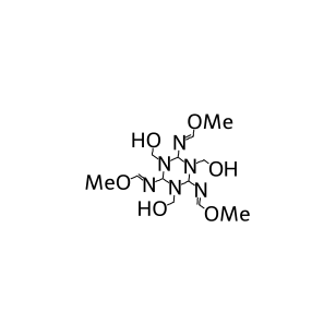 COC=NC1N(CO)C(N=COC)N(CO)C(N=COC)N1CO